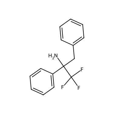 NC(Cc1ccccc1)(c1ccccc1)C(F)(F)F